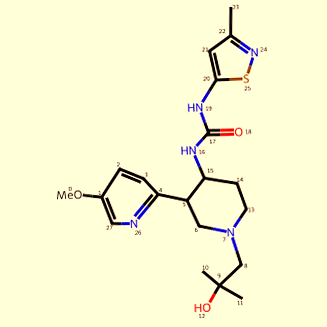 COc1ccc(C2CN(CC(C)(C)O)CCC2NC(=O)Nc2cc(C)ns2)nc1